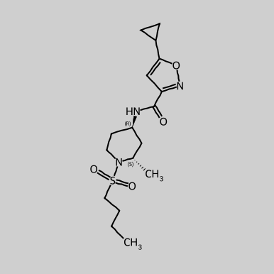 CCCCS(=O)(=O)N1CC[C@@H](NC(=O)c2cc(C3CC3)on2)C[C@@H]1C